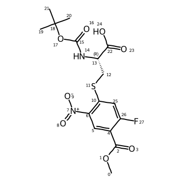 COC(=O)c1cc([N+](=O)[O-])c(SC[C@H](NC(=O)OC(C)(C)C)C(=O)O)cc1F